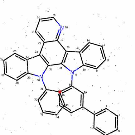 c1ccc(-c2cccc(-n3c4ccccc4c4c5ncccc5c5c6ccccc6n(-c6ccccc6)c5c43)c2)cc1